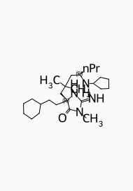 CCC[C@H](CC(C)(C)C[C@@]1(CCC2CCCCC2)NC(=N)N(C)C1=O)NC1CCCC1